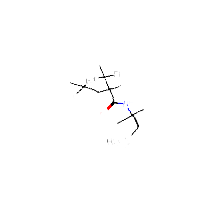 CCC(C)(CC)CC(C)(C(=O)NC(C)(C)CS(=O)(=O)O)C(C)(C)CC